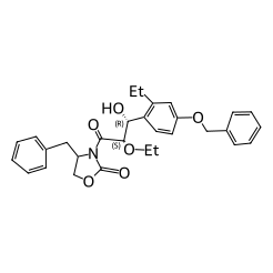 CCO[C@H](C(=O)N1C(=O)OCC1Cc1ccccc1)[C@H](O)c1ccc(OCc2ccccc2)cc1CC